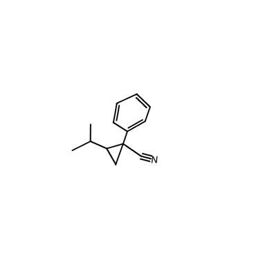 CC(C)C1CC1(C#N)c1ccccc1